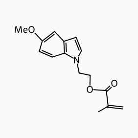 C=C(C)C(=O)OCCn1ccc2cc(OC)ccc21